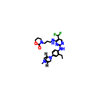 CCc1cc(N2C[C@H]3C[C@@H]2CN3C)ccc1Nc1ncc(C(F)F)c(NCCCN2CCCOC2=O)n1